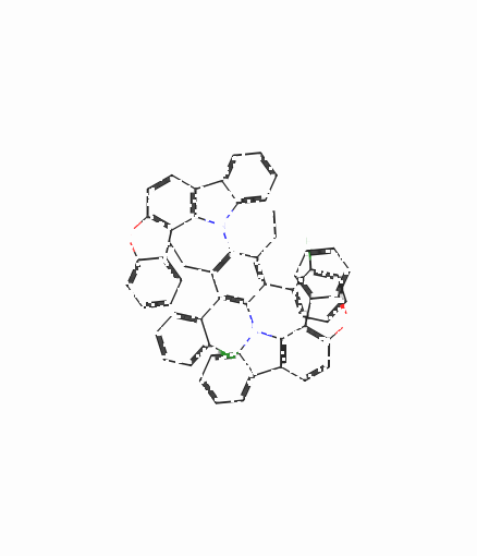 CCc1c(-c2ccccc2F)c(-n2c3ccccc3c3ccc4oc5ccccc5c4c32)c(-c2ccccc2F)c(CC)c1-n1c2ccccc2c2ccc3oc4ccccc4c3c21